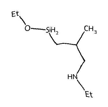 CCNCC(C)C[SiH2]OCC